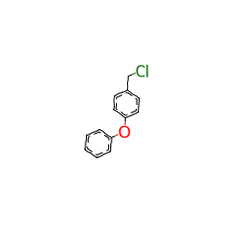 ClCc1ccc(Oc2ccccc2)cc1